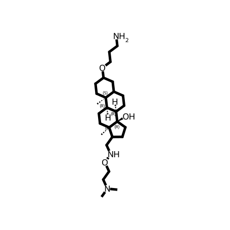 CN(C)CCONCC1CC[C@@]2(O)[C@@H]3CCC4CC(OCCCN)CC[C@]4(C)[C@@H]3CC[C@]12C